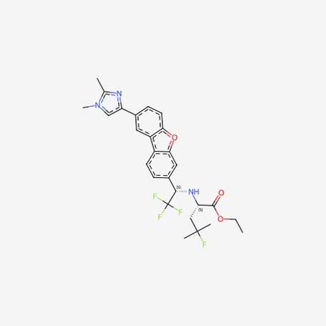 CCOC(=O)[C@H](CC(C)(C)F)N[C@@H](c1ccc2c(c1)oc1ccc(-c3cn(C)c(C)n3)cc12)C(F)(F)F